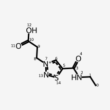 CCNC(=O)c1c[n+](CCC(=O)O)ns1